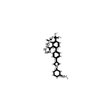 CS(=O)(=O)c1c(C(F)(F)F)ccc(-c2ccc(C3CN(C4CCCC(N)C4)C3)cc2)c1-c1nnn[nH]1